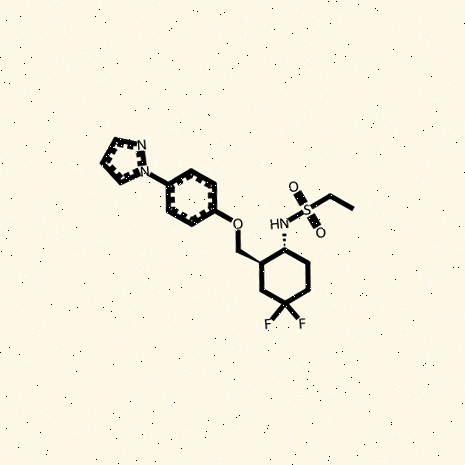 CCS(=O)(=O)N[C@@H]1CCC(F)(F)C[C@H]1COc1ccc(-n2cccn2)cc1